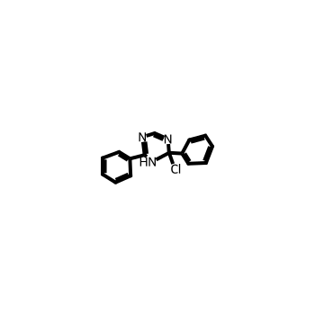 ClC1(c2ccccc2)N=CN=C(c2ccccc2)N1